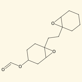 O=COC1CCC2(CCC34CCCCC3O4)OC2C1